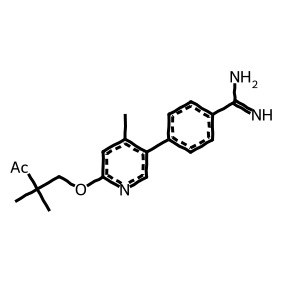 CC(=O)C(C)(C)COc1cc(C)c(-c2ccc(C(=N)N)cc2)cn1